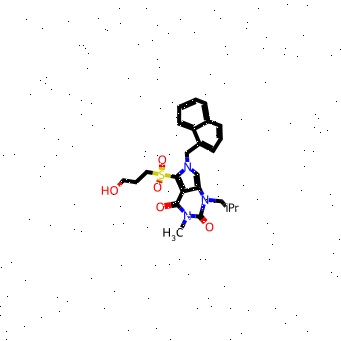 CC(C)Cn1c(=O)n(C)c(=O)c2c(S(=O)(=O)CCCO)n(Cc3cccc4ccccc34)cc21